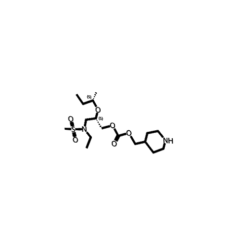 CC[C@H](C)O[C@H](COC(=O)OCC1CCNCC1)CN(CC)S(C)(=O)=O